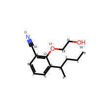 CCCC(C)c1cccc(C#N)c1OCCO